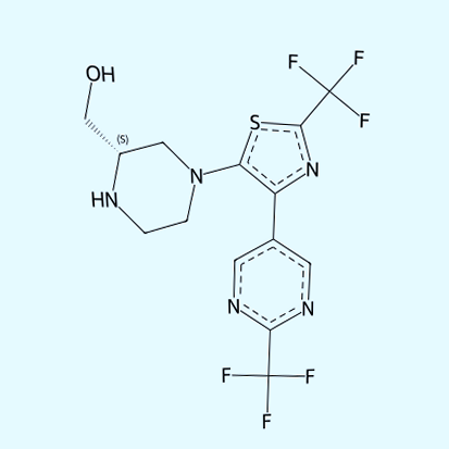 OC[C@@H]1CN(c2sc(C(F)(F)F)nc2-c2cnc(C(F)(F)F)nc2)CCN1